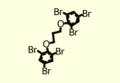 Brc1cc(Br)c(OCCCOc2c(Br)cc(Br)cc2Br)c(Br)c1